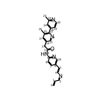 C=C/C=N\C=C\c1ccc(NC(=O)Cc2cnc(-c3ccnc(C)c3)c(C)c2)nc1